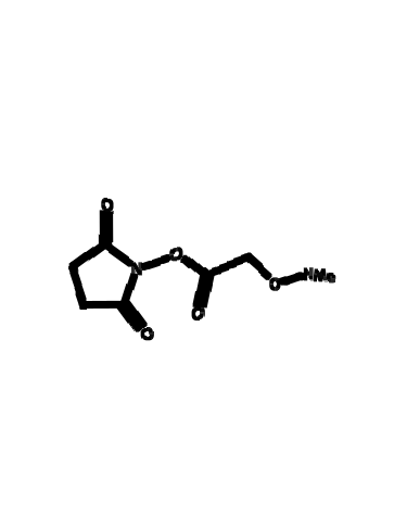 CNOCC(=O)ON1C(=O)CCC1=O